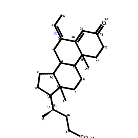 C/C=C1/CC2C(CCC3(C)C2CCC3[C@H](C)CCC(=O)O)C2(C)CCC(=O)C=C12